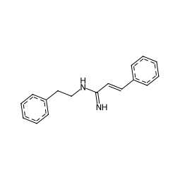 N=C(/C=C/c1ccccc1)NCCc1ccccc1